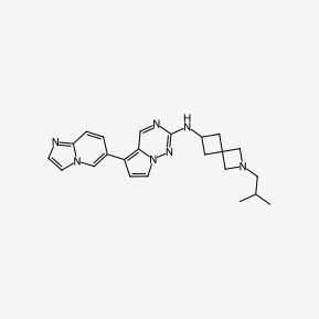 CC(C)CN1CC2(CC(Nc3ncc4c(-c5ccc6nccn6c5)ccn4n3)C2)C1